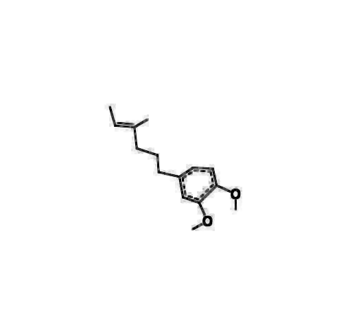 C/C=C(\C)CCCc1ccc(OC)c(OC)c1